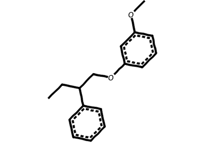 CCC(COc1cccc(OC)c1)c1ccccc1